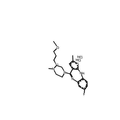 COCCC[C@H]1CN(C2=Nc3cc(F)ccc3Nc3sc(C)cc32)CCN1C.Cl.Cl